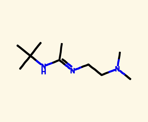 C/C(=N\CCN(C)C)NC(C)(C)C